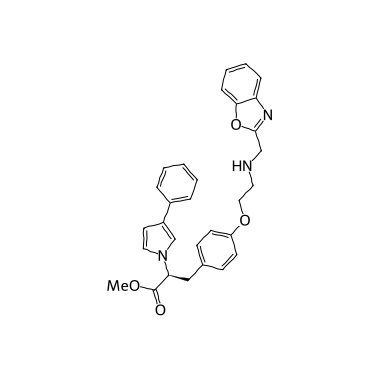 COC(=O)[C@H](Cc1ccc(OCCNCc2nc3ccccc3o2)cc1)n1ccc(-c2ccccc2)c1